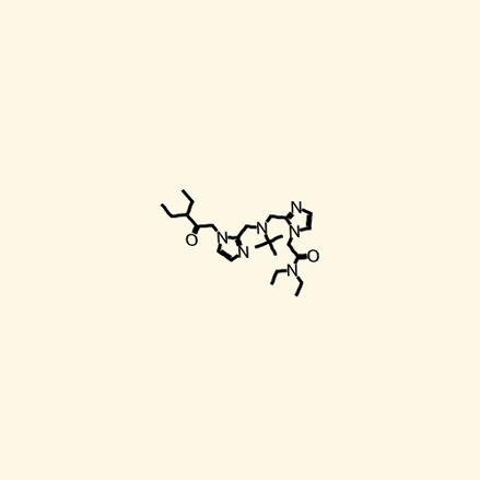 CCC(CC)C(=O)Cn1ccnc1CN(Cc1nccn1CC(=O)N(CC)CC)C(C)(C)C